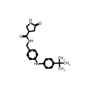 CC(C)(C)c1ccc(Nc2ccc(CNC(=O)C3CNC(=O)C3)cc2)cc1